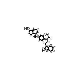 O=C1COc2cc(Nc3ccnc4c3CCC4O)ccc2N1CCc1c[nH]c2ccccc12